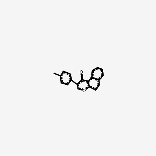 Cc1ccc(-c2coc3ccc4ccccc4c3c2=O)cc1